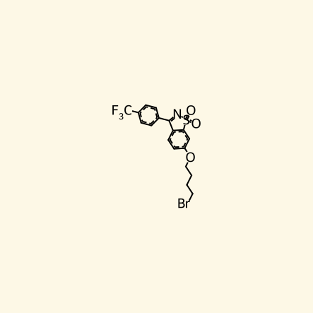 O=S1(=O)N=C(c2ccc(C(F)(F)F)cc2)c2ccc(OCCCCBr)cc21